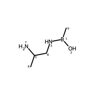 CB(O)NCC(C)N